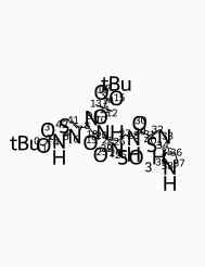 CC(C)(C)OC(=O)Nc1nc(/C(=N/OC(C)(C)C(=O)OC(C)(C)C)C(=O)N[C@@H]2C(=O)N(S(=O)(=O)O)[C@@H]2CNC(=O)c2cnc([C@@H]3CCNC3)s2)cs1